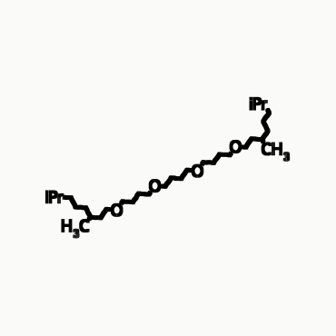 CC(C)CCCC(C)CCOCCCCOCCCCOCCCCOCCC(C)CCCC(C)C